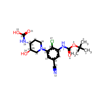 CC(C)(C)OC(=O)Nc1cc(C#N)cc(N2CC[C@@H](NC(=O)O)[C@H](O)C2)c1Cl